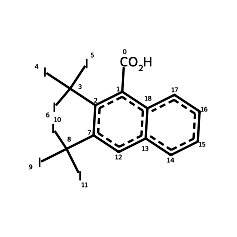 O=C(O)c1c(C(I)(I)I)c(C(I)(I)I)cc2ccccc12